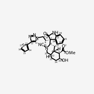 COC(=O)[C@@H]1[C@H]2C[C@@H]([C@@]3(CCn4cc(-c5cccs5)nn4)C(=O)Nc4ccccc43)N(C#N)C[C@@H]2CC[C@@H]1O